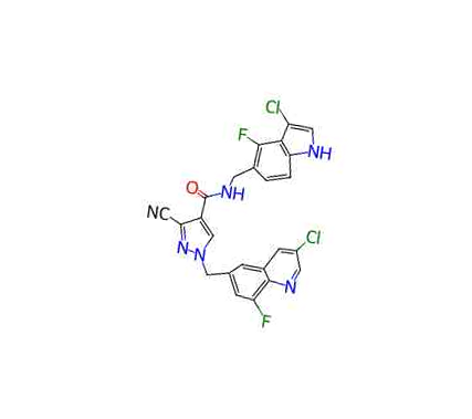 N#Cc1nn(Cc2cc(F)c3ncc(Cl)cc3c2)cc1C(=O)NCc1ccc2[nH]cc(Cl)c2c1F